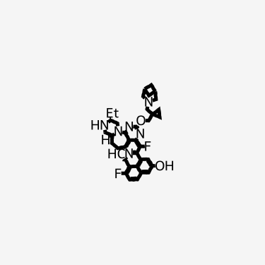 C#Cc1c(F)ccc2cc(O)cc(-c3nc4c5c(nc(OCC6(CN7CC8CC(C8)C7)CC6)nc5c3F)N3C[C@@H](CC)NC[C@H]3CC4)c12